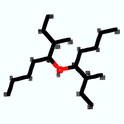 CCCCC(OC(CCCC)C(C)CC)C(C)CC